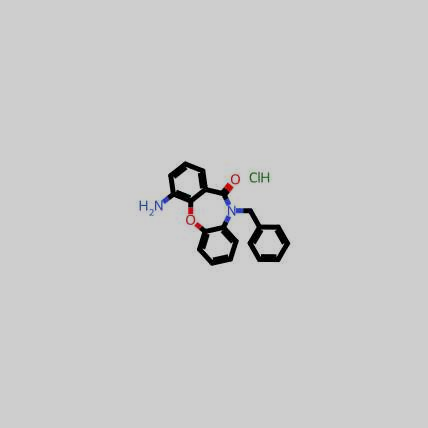 Cl.Nc1cccc2c1Oc1ccccc1N(Cc1ccccc1)C2=O